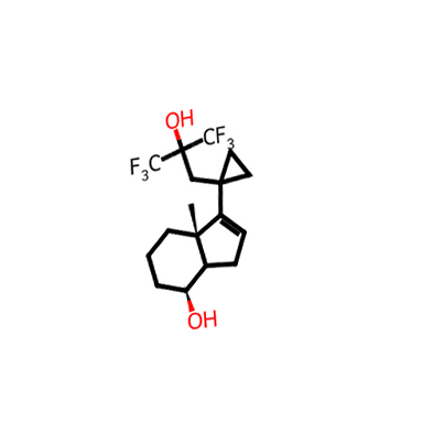 C[C@]12CCC[C@H](O)C1CC=C2C1(CC(O)(C(F)(F)F)C(F)(F)F)CC1